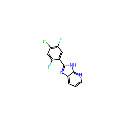 Fc1cc(-c2nc3cccnc3[nH]2)c(F)cc1Cl